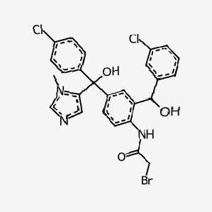 Cn1cncc1C(O)(c1ccc(Cl)cc1)c1ccc(NC(=O)CBr)c(C(O)c2cccc(Cl)c2)c1